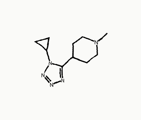 CN1CCC(c2nnnn2C2CC2)CC1